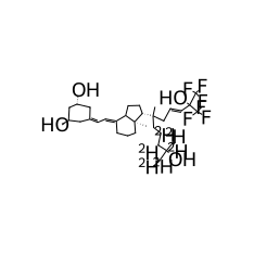 [2H]C([2H])([2H])C(O)(CCCC(C)(C/C=C/C(O)(C(F)(F)F)C(F)(F)F)[C@H]1CCC2/C(=C/C=C3C[C@@H](O)C[C@H](O)C3)CCC[C@@]21C)C([2H])([2H])[2H]